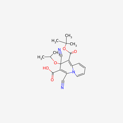 CC(C)OC1(C#N)C(C(=O)O)=C(C#N)N2C=CC=CC2=C1C(=O)OC(C)(C)C